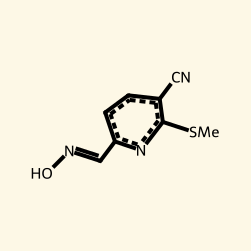 CSc1nc(C=NO)ccc1C#N